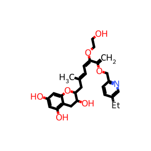 C=C(OCc1ccc(CC)cn1)/C(=C\C=C(/C)CC1Oc2cc(O)cc(O)c2CC1O)OCCO